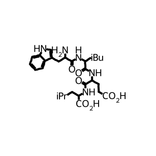 CCC(C)C(NC(=O)C(N)Cc1c[nH]c2ccccc12)C(=O)NC(CCC(=O)O)C(=O)NC(CC(C)C)C(=O)O